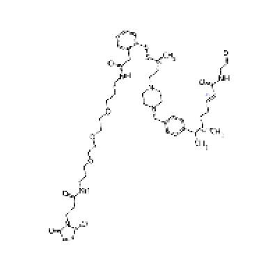 CC(c1ccc(CN2CCN(CC[C@H](C)SSc3ccccc3CC(=O)NCCCOCCOCCOCCCNC(=O)CCN3C(=O)C=CC3=O)CC2)cc1)[C@@H](C)CC/C=C/C(=O)NCC=O